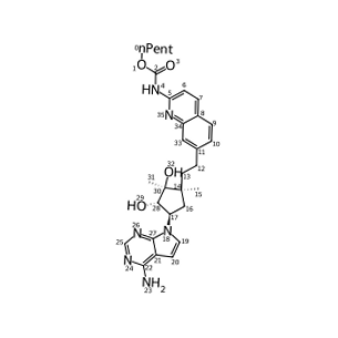 CCCCCOC(=O)Nc1ccc2ccc(CC[C@@]3(C)C[C@@H](n4ccc5c(N)ncnc54)[C@H](O)[C@@]3(C)O)cc2n1